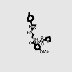 COc1ccc(C(=O)NCCNc2nc(-c3ccc(C)cc3)cs2)c(NS(=O)(=O)c2cccs2)c1